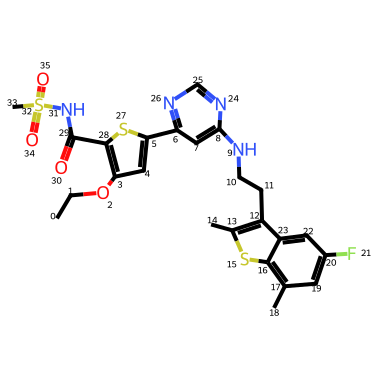 CCOc1cc(-c2cc(NCCc3c(C)sc4c(C)cc(F)cc34)ncn2)sc1C(=O)NS(C)(=O)=O